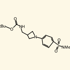 CNS(=O)(=O)c1ccc(N2CC(CNC(=O)OC(C)(C)C)C2)cc1